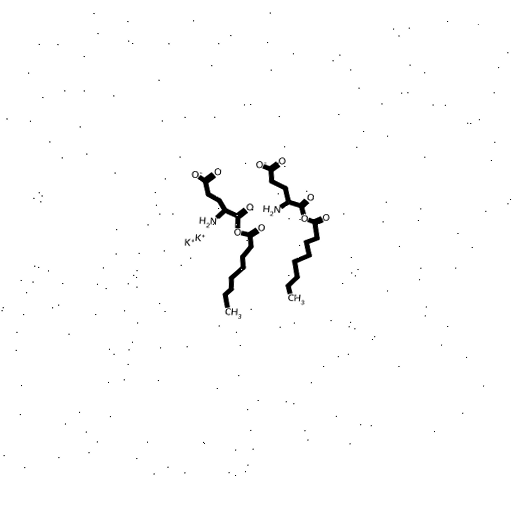 CCCCCCCC(=O)OC(=O)C(N)CCC(=O)[O-].CCCCCCCC(=O)OC(=O)C(N)CCC(=O)[O-].[K+].[K+]